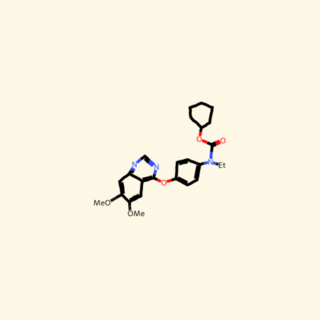 CCN(C(=O)OC1CCCCC1)c1ccc(Oc2ncnc3cc(OC)c(OC)cc23)cc1